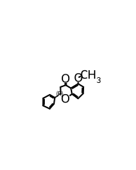 COc1cccc2c1C(=O)C[C@H](c1ccccc1)O2